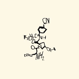 C[C@H](NC(=O)C1CC(O)CN1C(=O)C(N)C(C)(C)C)c1ccc(C#N)cc1.Cl